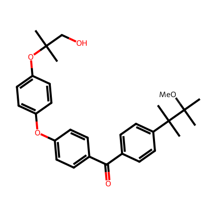 COC(C)(C)C(C)(C)c1ccc(C(=O)c2ccc(Oc3ccc(OC(C)(C)CO)cc3)cc2)cc1